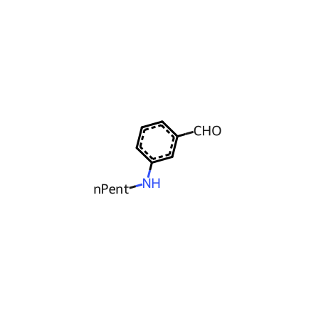 CCCCCNc1cccc(C=O)c1